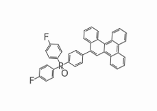 O=P(c1ccc(F)cc1)(c1ccc(F)cc1)c1ccc(-c2cc3c4ccccc4c4ccccc4c3c3ccccc23)cc1